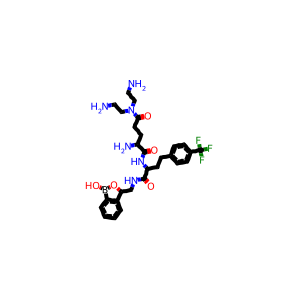 NCCN(CCN)C(=O)CCC(N)C(=O)NC(CCc1ccc(C(F)(F)F)cc1)C(=O)NCC1OB(O)c2ccccc21